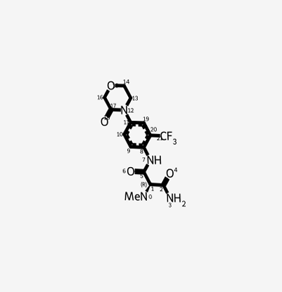 CN[C@H](C(N)=O)C(=O)Nc1ccc(N2CCOCC2=O)cc1C(F)(F)F